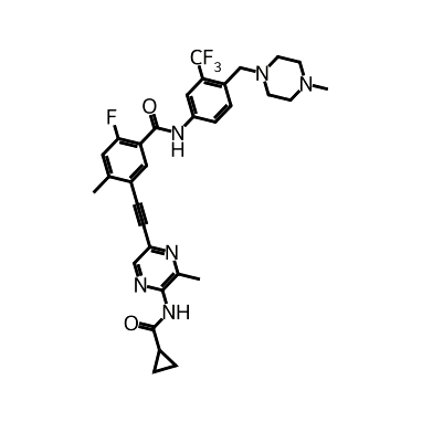 Cc1cc(F)c(C(=O)Nc2ccc(CN3CCN(C)CC3)c(C(F)(F)F)c2)cc1C#Cc1cnc(NC(=O)C2CC2)c(C)n1